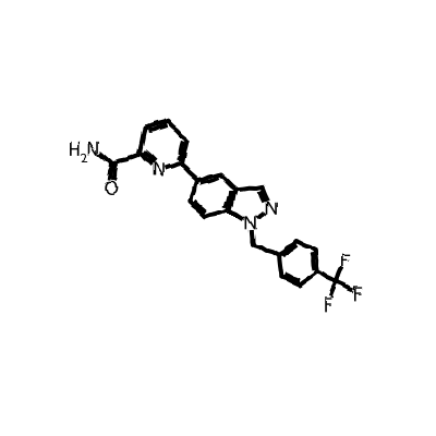 NC(=O)c1cccc(-c2ccc3c(cnn3Cc3ccc(C(F)(F)F)cc3)c2)n1